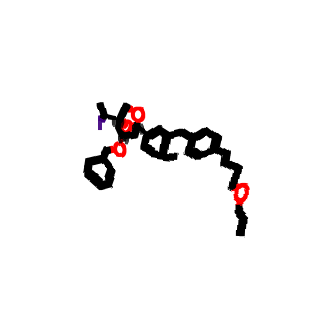 C=CCOCCCCc1ccc(Cc2cc([C@]34C[C@@H](OCc5ccccc5)C[C@](C(C)I)(CO3)O4)ccc2C)cc1